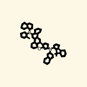 Cc1ccccc1B(c1cccc2ccccc12)c1cc2c3cccc4c3c(cc2c2ccccc12)-c1ccc(N(c2ccc3ccccc3c2)c2cccc3c2C(C)(C)c2ccccc2-3)cc1O4